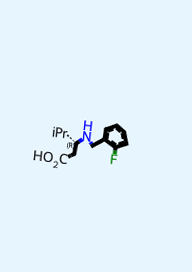 CC(C)[C@@H](CC(=O)O)NCc1ccccc1F